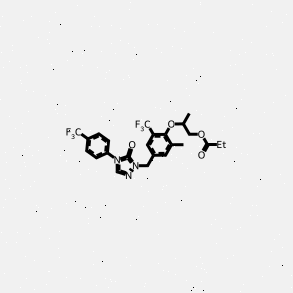 CCC(=O)OCC(C)Oc1c(C)cc(Cn2ncn(-c3ccc(C(F)(F)F)cc3)c2=O)cc1C(F)(F)F